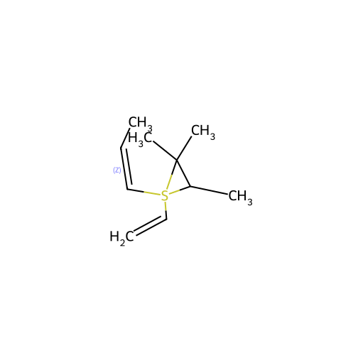 C=CS1(/C=C\C)C(C)C1(C)C